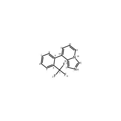 FC(F)(F)c1ccccc1-c1cccn2cncc12